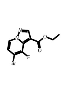 CCOC(=O)c1cnn2ccc(Br)c(F)c12